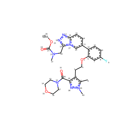 Cc1c(CCOc2cc(F)ccc2-c2ccc3nnc(CN(C)C(=O)OC(C)(C)C)n3c2)c(C(=O)N2CCOCC2)nn1C